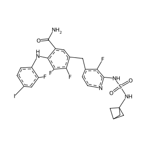 NC(=O)c1cc(Cc2ccnc(NS(=O)(=O)NC34CC(C3)C4)c2F)c(F)c(F)c1Nc1ccc(I)cc1F